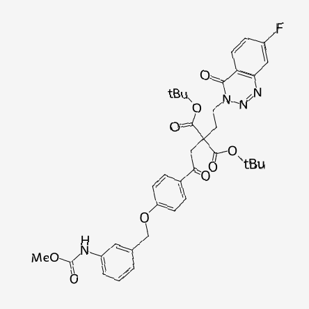 COC(=O)Nc1cccc(COc2ccc(C(=O)CC(CCn3nnc4cc(F)ccc4c3=O)(C(=O)OC(C)(C)C)C(=O)OC(C)(C)C)cc2)c1